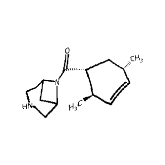 C[C@@H]1C=C[C@@H](C)[C@H](C(=O)N2C3CNCC2C3)C1